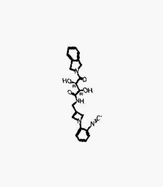 [C-]#[N+]c1ccccc1N1CC(CNC(=O)[C@H](O)[C@@H](O)C(=O)N2Cc3ccccc3C2)C1